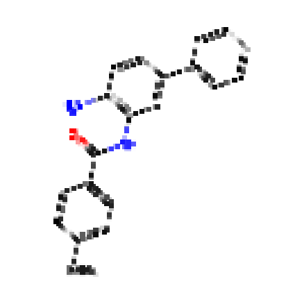 CC(=O)Nc1ccc(C(=O)Nc2cc(-c3ccccc3)ccc2N)cc1